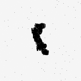 Cc1ccc(C(=O)Nc2nnc3ccc(Oc4ccnc(C(=O)NCCN5CCOCC5)c4)cc3n2)cc1